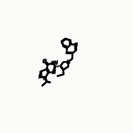 CC[C@@H]1CN(Cc2cnc3ccccc3c2)C[C@H]1c1nc2c(cnn2C(C)C)c(=O)[nH]1